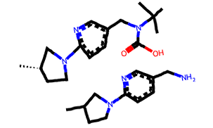 CC1CCN(c2ccc(CN)cn2)C1.C[C@H]1CCN(c2ccc(CN(C(=O)O)C(C)(C)C)cn2)C1